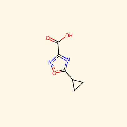 O=C(O)c1noc(C2CC2)n1